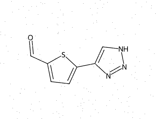 O=Cc1ccc(-c2c[nH]nn2)s1